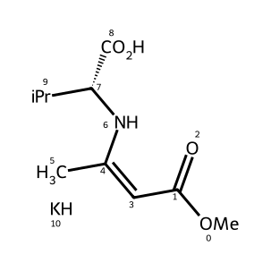 COC(=O)/C=C(/C)N[C@@H](C(=O)O)C(C)C.[KH]